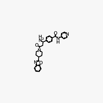 NC(CC(=O)N1CCC(c2nc3ccccc3o2)CC1)c1ccc(C(=O)Nc2ccncc2)cc1